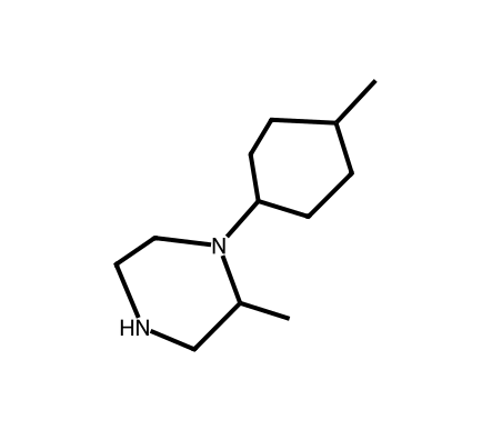 CC1CCC(N2CCNCC2C)CC1